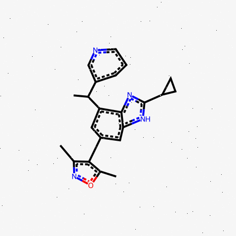 Cc1noc(C)c1-c1cc(C(C)c2cccnc2)c2nc(C3CC3)[nH]c2c1